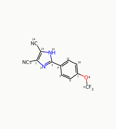 N#Cc1nc(-c2ccc(OC(F)(F)F)cc2)[nH]c1C#N